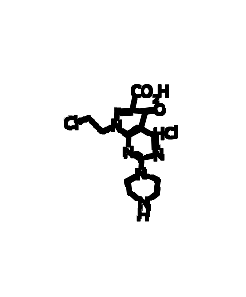 Cl.O=C(O)c1cn(CCCl)c2nc(N3CCNCC3)ncc2c1=O